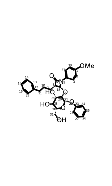 COc1ccc(N2C(=O)[C@H](CCCc3ccccc3)[C@@H]2O[C@H]2[C@@H](Oc3ccccc3)O[C@H](CO)[C@@H](O)[C@@H]2O)cc1